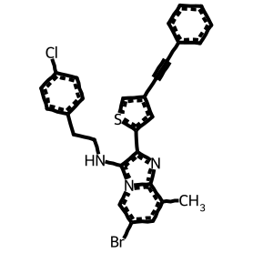 Cc1cc(Br)cn2c(NCCc3ccc(Cl)cc3)c(-c3cc(C#Cc4ccccc4)cs3)nc12